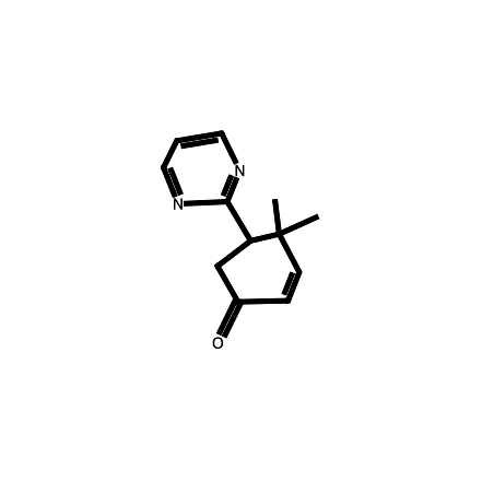 CC1(C)C=CC(=O)CC1c1ncccn1